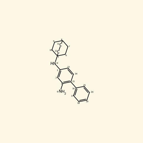 Nc1cc(NC23CCC(CC2)CC3)ccc1-c1ccccc1